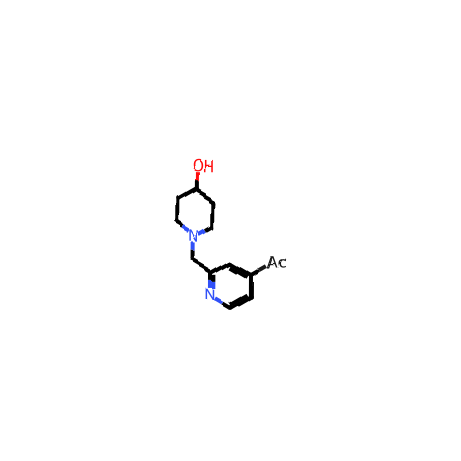 CC(=O)c1ccnc(CN2CCC(O)CC2)c1